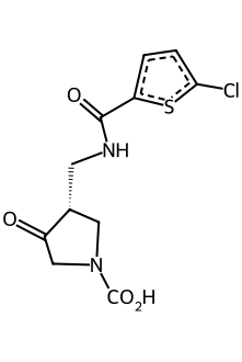 O=C(NC[C@@H]1CN(C(=O)O)CC1=O)c1ccc(Cl)s1